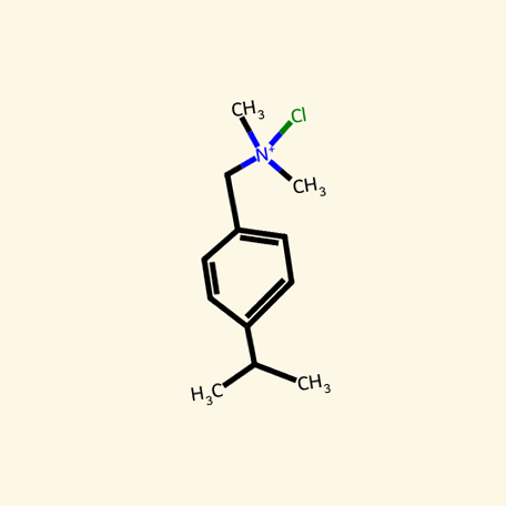 CC(C)c1ccc(C[N+](C)(C)Cl)cc1